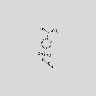 CC(S)c1ccc(S(=O)(=O)N=[N+]=[N-])cc1